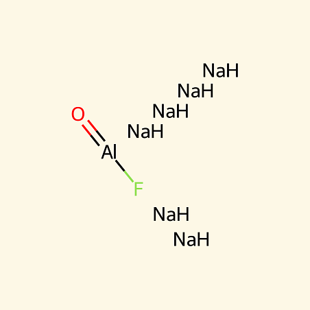 [NaH].[NaH].[NaH].[NaH].[NaH].[NaH].[O]=[Al][F]